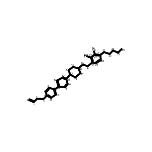 C=CCCc1ccc(-c2ccc(C3CCC(CCc4ccc(CCCCC)c(F)c4F)CC3)cc2)cc1